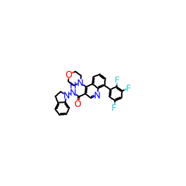 O=C(NN1CCc2ccccc21)c1cnc2c(-c3cc(F)cc(F)c3F)cccc2c1N1CCOCC1